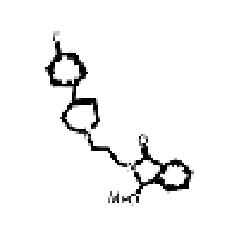 COC1c2ccccc2C(=O)N1CCCN1CC=C(c2ccc(F)cc2)CC1